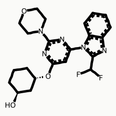 O[C@H]1CCC[C@H](Oc2cc(-n3c(C(F)F)nc4ccccc43)nc(N3CCOCC3)n2)C1